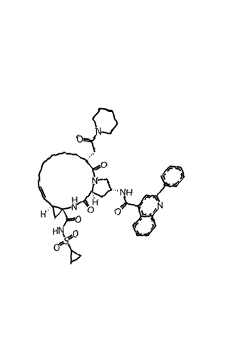 O=C(N[C@@H]1C[C@H]2C(=O)N[C@]3(C(=O)NS(=O)(=O)C4CC4)C[C@H]3/C=C\CCCCC[C@H](CC(=O)N3CCCCC3)C(=O)N2C1)c1cc(-c2ccccc2)nc2ccccc12